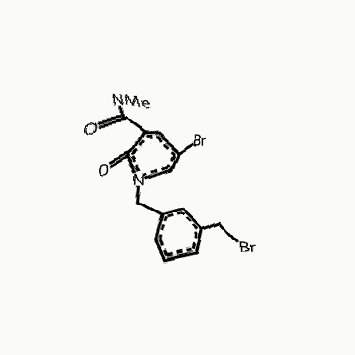 CNC(=O)c1cc(Br)cn(Cc2cccc(CBr)c2)c1=O